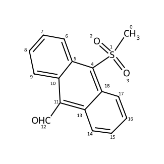 CS(=O)(=O)c1c2ccccc2c(C=O)c2ccccc12